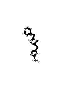 Nc1nc(Cc2nnc(Cc3ccncc3)[nH]2)cs1